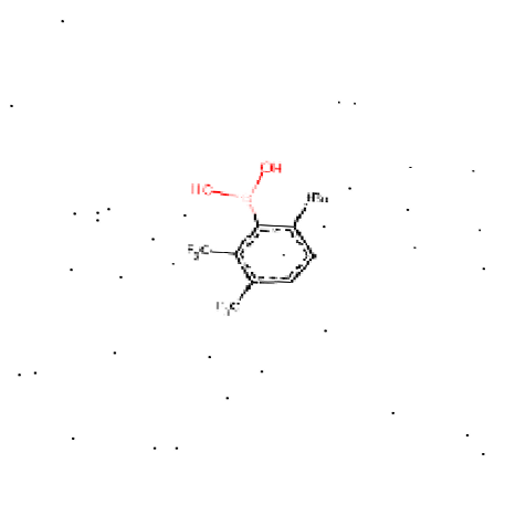 CC(C)(C)c1ccc(C(F)(F)F)c(C(F)(F)F)c1B(O)O